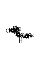 CCOc1ccc(CC(=O)Nc2ccc(OC3(c4ccc(Cl)cc4Cl)CCOCC3)cc2)cc1